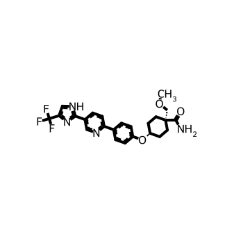 COC[C@]1(C(N)=O)CC[C@H](Oc2ccc(-c3ccc(-c4nc(C(F)(F)F)c[nH]4)cn3)cc2)CC1